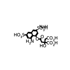 Nc1cc(S(=O)(=O)O)cc2cc(S(=O)(=O)O)cc(OC(=O)CC(O)(CC(=O)O)C(=O)O)c12.[NaH]